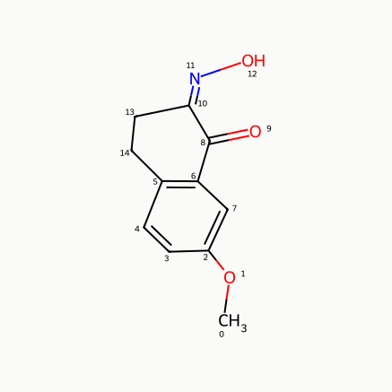 COc1ccc2c(c1)C(=O)C(=NO)CC2